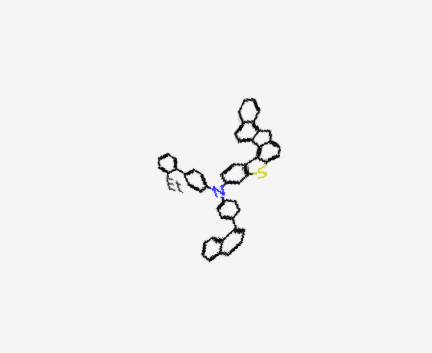 CCc1ccccc1-c1ccc(N(C2=CC=C(c3cccc4ccccc34)CC2)c2ccc3c(c2)sc2ccc4c(c23)-c2ccc3c(c2C4)C=CCC3)cc1